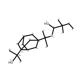 CCC(C)(C)C(O)OC(C)(C)C12CC3CC(C1)C(C(C)(C)O)(C3)C2